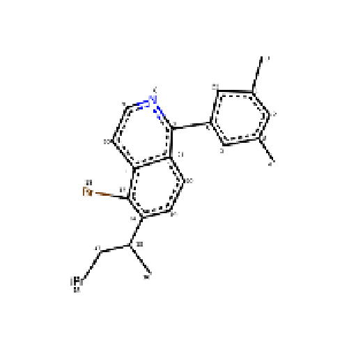 Cc1cc(C)cc(-c2nccc3c(Br)c(C(C)CC(C)C)ccc23)c1